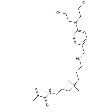 C=C(C)C(=O)NCCC[N+](C)(C)CCCNCc1ccc(N(CCCl)CCCl)cc1